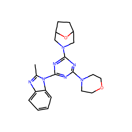 Cc1nc2ccccc2n1-c1nc(N2CCOCC2)nc(N2CC3CCC(C2)O3)n1